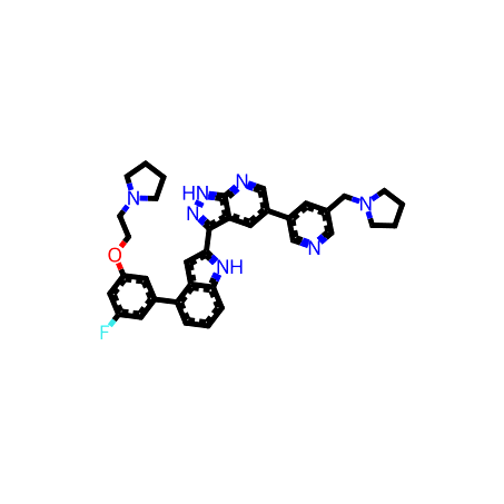 Fc1cc(OCCN2CCCC2)cc(-c2cccc3[nH]c(-c4n[nH]c5ncc(-c6cncc(CN7CCCC7)c6)cc45)cc23)c1